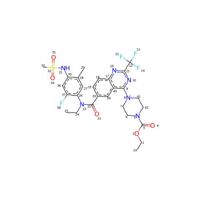 CCOC(=O)N1CCN(c2nc(C(F)(F)F)nc3ccc(C(=O)N(CC)c4cc(C)c(NS(C)(=O)=O)cc4F)cc23)CC1